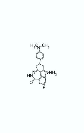 CN(C)c1ccc(C2CC3=NNC(=O)c4cc(F)cc5c4c3c(n5N)C2)cc1